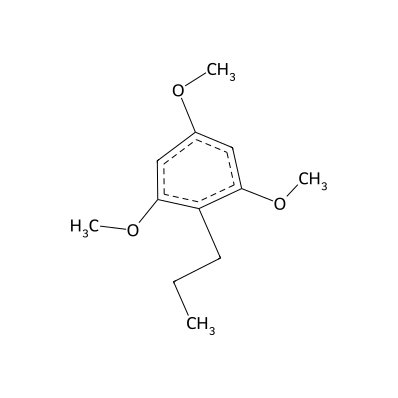 CCCc1c(OC)cc(OC)cc1OC